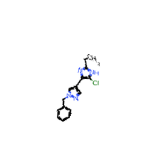 CCc1nc(-c2cnn(Cc3ccccc3)c2)c(Cl)[nH]1